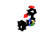 Cl.Oc1ccc(-c2csc3nc(C45CC6CC(CC(C6)C4)C5)cn23)c(O)c1